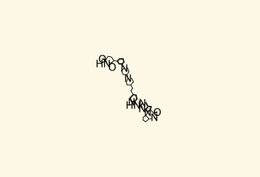 CN(C)C(=O)c1cc2cnc(Nc3ccc(CCC4CCN(C5CCN(c6cccc(C7CCC(=O)NC7=O)c6)CC5)CC4)cn3)nc2n1C1CCCC1